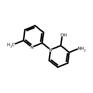 Cc1cccc(N2C=CC=C(N)C2O)n1